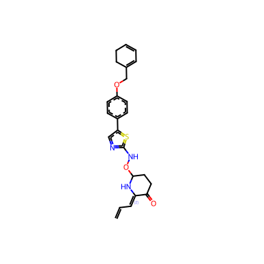 C=C/C=C1\NC(ONc2ncc(-c3ccc(OCC4=CC=CCC4)cc3)s2)CCC1=O